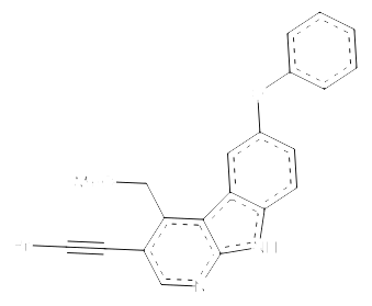 COCc1c(C#CBr)cnc2[nH]c3ccc(Oc4ccccc4)cc3c12